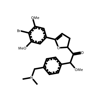 COc1cc(C2=CCC(C(=O)C(OC)c3ccc(CN(C)C)cc3)O2)cc(OC)c1Br